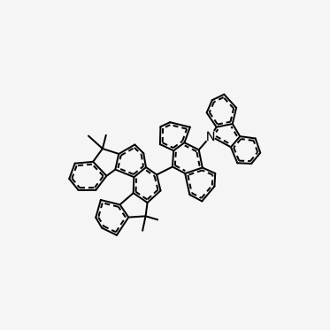 CC1(C)c2ccccc2-c2c1ccc1c(-c3c4ccccc4c(-n4c5ccccc5c5ccccc54)c4ccccc34)cc3c(c21)-c1ccccc1C3(C)C